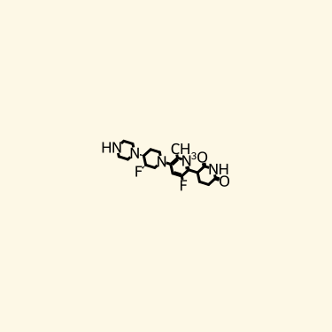 Cc1nc(C2CCC(=O)NC2=O)c(F)cc1N1CC[C@@H](N2CCNCC2)[C@@H](F)C1